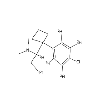 [2H]c1c([2H])c(C2(C([2H])(CC(C)C)N(C)C)CCC2)c([2H])c([2H])c1Cl